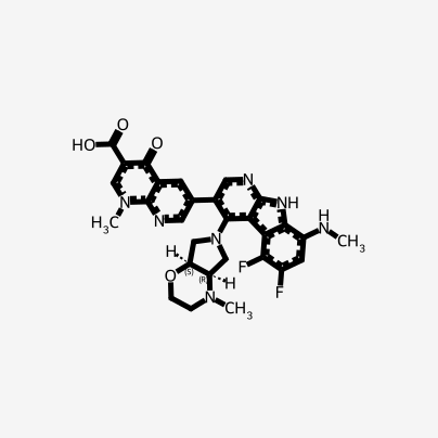 CNc1cc(F)c(F)c2c1[nH]c1ncc(-c3cnc4c(c3)c(=O)c(C(=O)O)cn4C)c(N3C[C@@H]4OCCN(C)[C@@H]4C3)c12